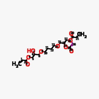 C=CC(=O)OCC(O)COCCCCOCC(COC(=O)C=C)OC(=O)I